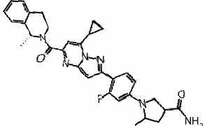 CC1CC(C(N)=O)CN1c1ccc(-c2cc3nc(C(=O)N4CCc5ccccc5[C@H]4C)cc(C4CC4)n3n2)c(F)c1